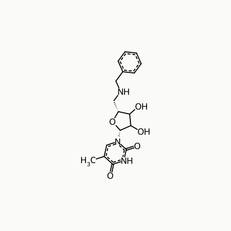 Cc1cn([C@@H]2O[C@H](CNCc3ccccc3)C(O)C2O)c(=O)[nH]c1=O